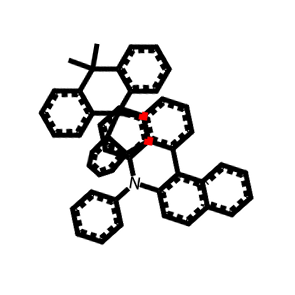 CC1(C)c2ccccc2C2(c3ccccc3-c3c(-c4c(N(c5ccccc5)c5ccccc5)ccc5ccccc45)cccc32)c2ccccc21